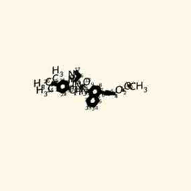 COCOCC#Cc1ccc(NC(=O)Nc2ccnn2-c2cc(C(C)(C)C)ccc2C)c2ccccc12